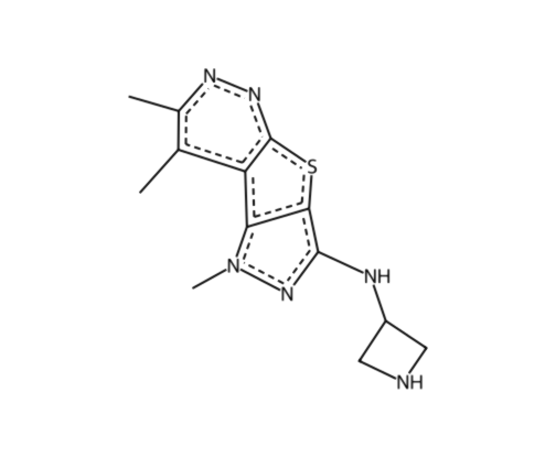 Cc1nnc2sc3c(NC4CNC4)nn(C)c3c2c1C